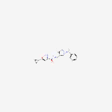 CCC(c1ccccc1)N1CC(CNC(=O)c2cc(C3CC3)on2)[C@@H](C)C1